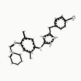 Cc1cc(Oc2nc(Cc3ccc(Cl)cc3)ns2)c(C)cc1/N=C\N1CCCCC1